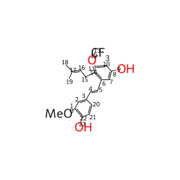 COc1cc(/C=C/c2cc(O)cc(OC(F)(F)F)c2CC=C(C)C)ccc1O